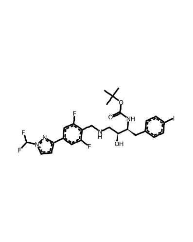 CC(C)(C)OC(=O)N[C@@H](Cc1ccc(I)cc1)[C@@H](O)CNCc1c(F)cc(-c2ccn(C(F)F)n2)cc1F